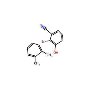 Cc1ccccc1C.N#Cc1cccc(O)c1Br